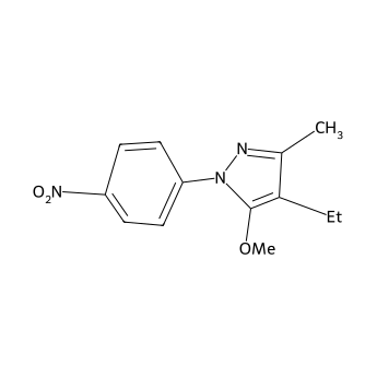 CCc1c(C)nn(-c2ccc([N+](=O)[O-])cc2)c1OC